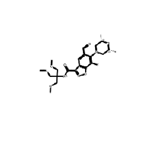 COCC(COC)(COC)NC(=O)c1noc2c(F)c(N3C[C@@H](C)O[C@@H](C)C3)c(C=O)cc12